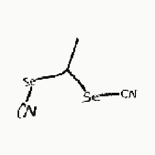 CC([Se]C#N)[Se]C#N